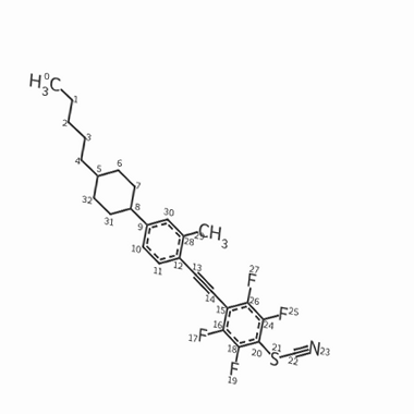 CCCCCC1CCC(c2ccc(C#Cc3c(F)c(F)c(SC#N)c(F)c3F)c(C)c2)CC1